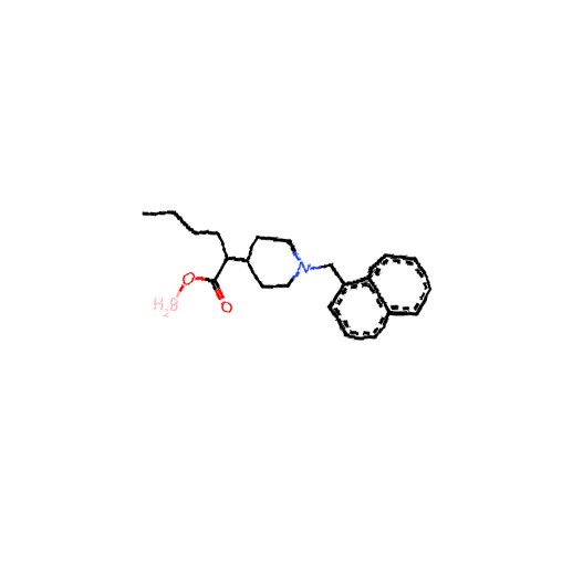 BOC(=O)C(CCCC)C1CCN(Cc2cccc3ccccc23)CC1